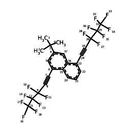 CC(C)(C)c1cc(C#CC(F)(F)C(F)(F)C(F)(F)F)c2cccc(C#CC(F)(F)C(F)(F)C(F)(F)F)c2c1